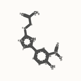 CC(=O)CSc1nnc(-c2ccc(O)c([N+](=O)[O-])c2)[nH]1